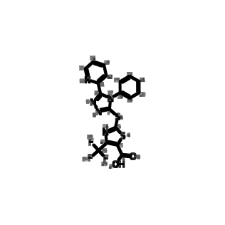 O=C(O)c1sc(Sc2nnc(-c3ccccn3)n2-c2ccccc2)nc1C(F)(F)F